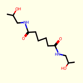 CC(O)CNC(=O)CCCCC(=O)NCC(C)O